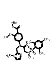 CCCCOC(=O)c1ccc(N(Cc2nccn2C)C(=O)CN(C)S(=O)(=O)c2c(C)cc(C)cc2C)cc1OCCCC